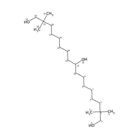 CC(C)(CO)CCCCCCC(O)CCCCCCC(C)(C)CO